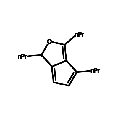 CCC[C]1OC(CCC)=C2C(CCC)=CC=C12